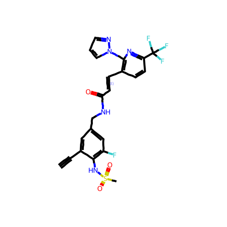 C#Cc1cc(CNC(=O)/C=C/c2ccc(C(F)(F)F)nc2-n2cccn2)cc(F)c1NS(C)(=O)=O